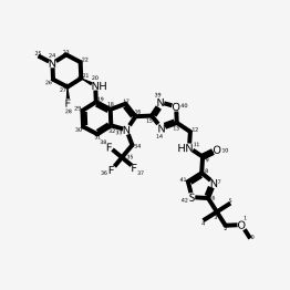 COCC(C)(C)c1nc(C(=O)NCc2nc(-c3cc4c(N[C@@H]5CCN(C)C[C@@H]5F)cccc4n3CC(F)(F)F)no2)cs1